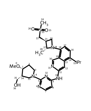 CO[C@@H]1CCN(c2nccc(Nc3cc4c(C(C)C)ccc(N5C[C@H](CS(C)(=O)=O)[C@H]5C)c4cn3)n2)C[C@@H]1CO